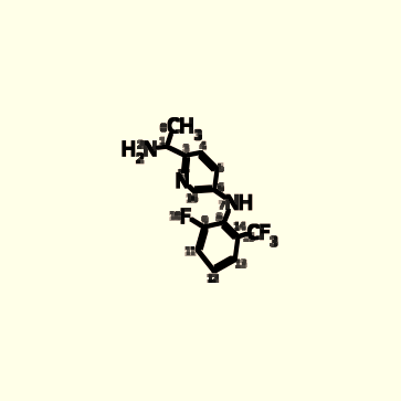 CC(N)c1ccc(Nc2c(F)cccc2C(F)(F)F)cn1